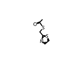 CC(=O)SCc1nccs1